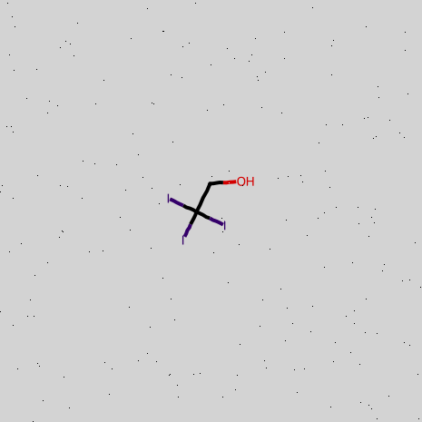 OCC(I)(I)I